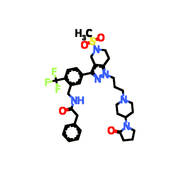 CS(=O)(=O)N1CCc2c(c(-c3ccc(C(F)(F)F)c(CNC(=O)Cc4ccccc4)c3)nn2CCCN2CCC(N3CCCC3=O)CC2)C1